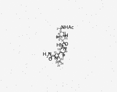 CC(=O)NC(C)[C@@H]1C[C@H]2C[C@H](C(=O)Nc3cc(-c4cc(C(N)=O)n5c4CC(C)(C)C5)c(F)cn3)C[C@H]2C1